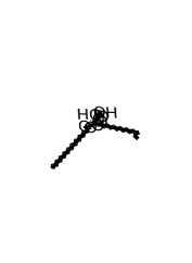 CCCCCCCCCCCCCCCCCCCC(=O)OC[C@H](COP(=O)(O)O)OC(=O)CCCCCCCCCCC(C)CC